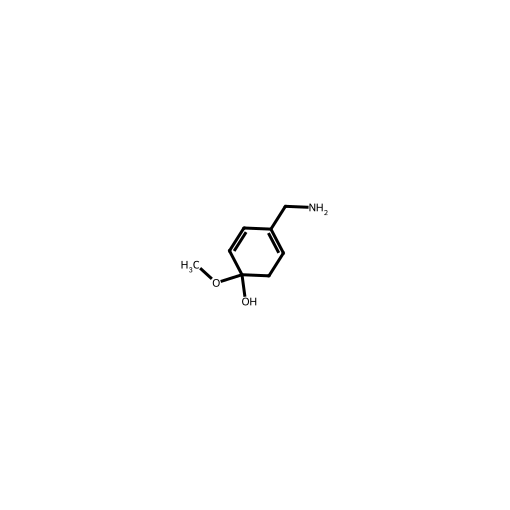 COC1(O)C=CC(CN)=CC1